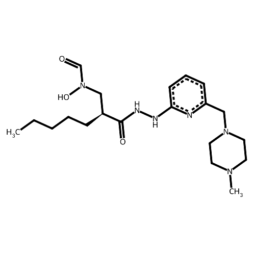 CCCCC[C@@H](CN(O)C=O)C(=O)NNc1cccc(CN2CCN(C)CC2)n1